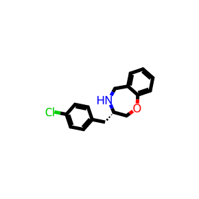 Clc1ccc(C[C@H]2COc3ccccc3CN2)cc1